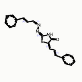 O=C1N\C(=N/N=C\C=C\c2ccccc2)S/C1=C/C=C/c1ccccc1